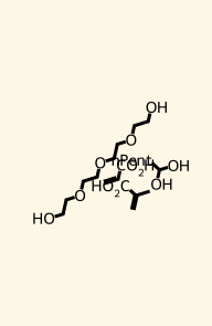 C=C(C)C(=O)O.C=CC(=O)O.CCCCCC(O)O.OCCOCCOCCOCCO